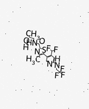 Cc1nc(C(=O)NCC(C)O)sc1-c1cnc(NCC(F)(F)F)cc1C(F)F